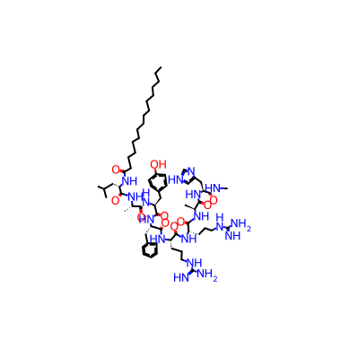 CCCCCCCCCCCCCCCC(=O)N[C@@H](CC(C)C)C(=O)N[C@@H](C)C(=O)N[C@@H](Cc1ccc(O)cc1)C(=O)N[C@@H](Cc1ccccc1)C(=O)N[C@@H](CCCNC(=N)N)C(=O)N[C@@H](CCCNC(=N)N)C(=O)N[C@@H](C)C(=O)N[C@@H](Cc1c[nH]cn1)C(=O)NC